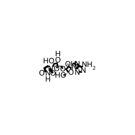 Nc1ncnc2c1ncn2[C@@H]1O[C@H](CO)[C@@H](OC[C@H]2O[C@@H](n3ccc(=O)[nH]c3=O)[C@H](O)[C@@H]2O)[C@H]1O